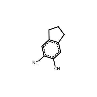 N#Cc1cc2c(cc1C#N)CCC2